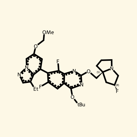 CCc1cnn2cc(OCOC)cc(-c3c(F)cc4c(OC(C)(C)C)nc(OC[C@@]56CCCN5C[C@H](F)C6)nc4c3F)c12